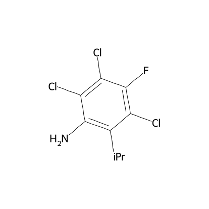 CC(C)c1c(N)c(Cl)c(Cl)c(F)c1Cl